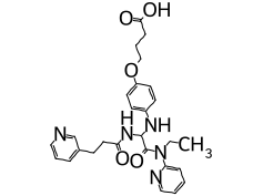 CCN(C(=O)C(NC(=O)CCc1cccnc1)Nc1ccc(OCCCC(=O)O)cc1)c1ccccn1